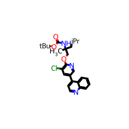 CC(C)CC(C)(COc1ncc(-c2ccnc3ccccc23)cc1Cl)NC(=O)OC(C)(C)C